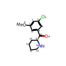 COc1cc(Cl)cc(C(=O)[C@@H]2CCCCN2)c1